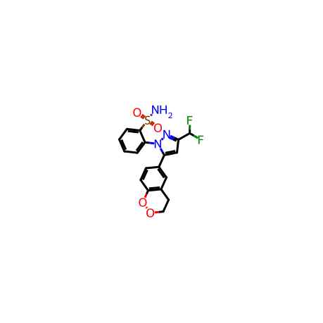 NS(=O)(=O)c1ccccc1-n1nc(C(F)F)cc1-c1ccc2c(c1)CCOO2